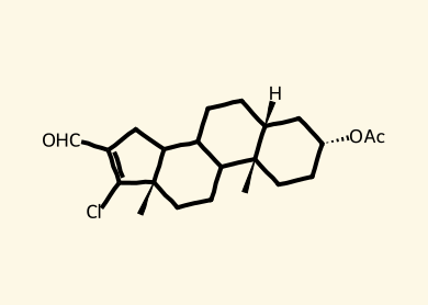 CC(=O)O[C@@H]1CC[C@]2(C)C3CC[C@]4(C)C(Cl)=C(C=O)CC4C3CC[C@@H]2C1